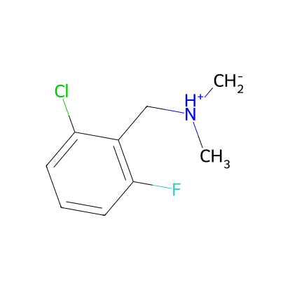 [CH2-][NH+](C)Cc1c(F)cccc1Cl